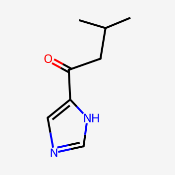 CC(C)CC(=O)c1cnc[nH]1